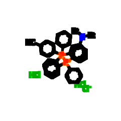 CCN(CC)c1cccc(P(c2ccccc2)(c2ccccc2)(c2ccc(C#N)cc2)[P+](c2ccccc2)(c2ccccc2)c2ccccc2)c1.Cl.Cl.[Cl-]